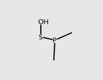 CP(C)SO